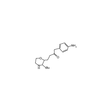 CC(C)(C)C1NCCOC1CCC(=O)Cc1ccc(N)cc1